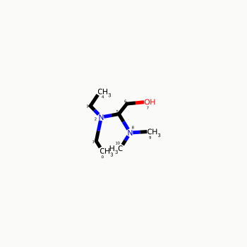 CCN(CC)C(CO)N(C)C